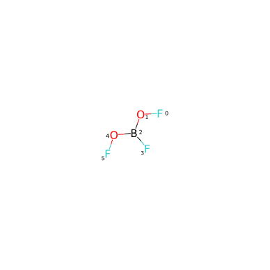 FOB(F)OF